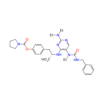 CCN(CC)c1ncc(N(CC)C(=O)NCc2ccccc2)c(N[C@@H](Cc2ccc(OC(=O)N3CCCC3)cc2)C(=O)O)n1